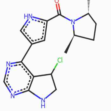 C[C@@H]1CC[C@@H](C)N1C(=O)c1cc(-c2ncnc3c2C(Cl)CN3)c[nH]1